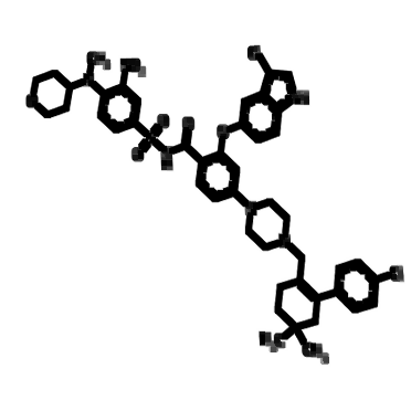 CN(c1ccc(S(=O)(=O)NC(=O)c2ccc(N3CCN(CC4=C(c5ccc(Cl)cc5)CC(C)(C)CC4)CC3)cc2Oc2ccc3[nH]cc(Cl)c3c2)cc1[N+](=O)[O-])C1CCOCC1